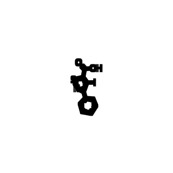 O=C(O)c1snc(-c2ccccc2)c1I